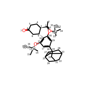 C=C(C)[C@@H]1CCC(=O)C[C@H]1c1c(O[Si](C)(C)C(C)(C)C)cc(C23CC4CC(CC(C4)C2)C3)cc1O[Si](C)(C)C(C)(C)C